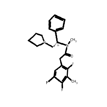 Cc1c(F)c(F)cc(CC(=O)N(C)[C@H](CN2CCCC2)c2ccccc2)c1F